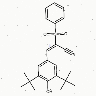 CC(C)(C)c1cc(/C=C(\C#N)S(=O)(=O)c2ccccc2)cc(C(C)(C)C)c1O